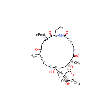 CCCCC/C1=C/CC(=O)C(C)CCCC[C@@](C)(O)CC[C@@H](O[C@H]2C[C@@](C)(OC)[C@@H](O)[C@H](C)O2)[C@@H](C)C(=O)/C=C/CCC(=O)N[C@@H](CC(C)C)C1=O